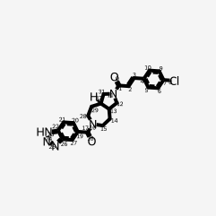 O=C(/C=C/c1ccc(Cl)cc1)N1CC2CCN(C(=O)c3ccc4[nH]nnc4c3)CC[C@@H]2C1